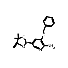 C=C1OB(c2cnc(N)c(OCc3ccccc3)c2)OC1(C)C